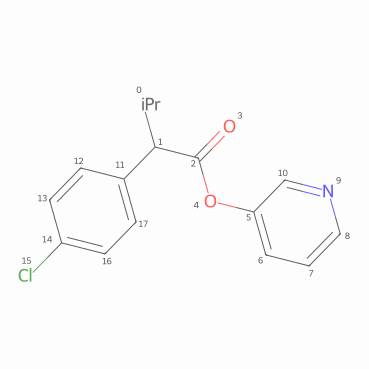 CC(C)C(C(=O)Oc1cccnc1)c1ccc(Cl)cc1